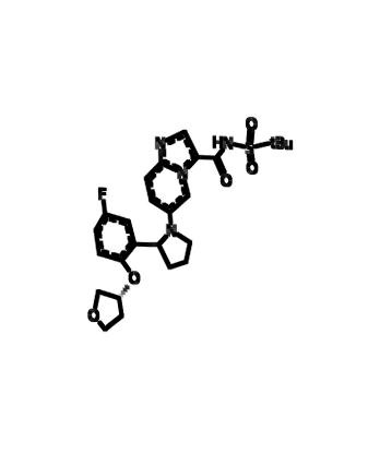 CC(C)(C)S(=O)(=O)NC(=O)c1cnc2ccc(N3CCCC3c3cc(F)ccc3O[C@@H]3CCOC3)cn12